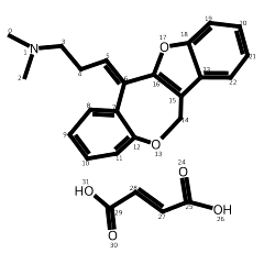 CN(C)CC/C=C1\c2ccccc2OCc2c1oc1ccccc21.O=C(O)/C=C/C(=O)O